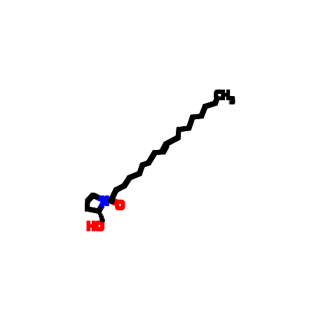 CCCCCCCCC=CCCCCCCCC(=O)N1CCC[C@H]1CO